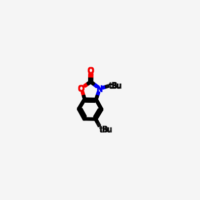 CC(C)(C)c1ccc2oc(=O)n(C(C)(C)C)c2c1